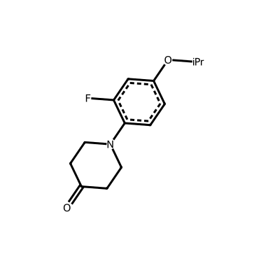 CC(C)Oc1ccc(N2CCC(=O)CC2)c(F)c1